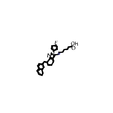 O=C(O)CCCC/C=C/c1c2c(nn1-c1ccc(F)cc1)C(Cc1ccc3ccccc3c1)CCC2